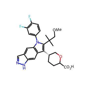 COCC(C)(C)c1c([C@H]2CCC(C(=O)O)OC2)c2cc3[nH]ncc3cc2n1-c1ccc(F)c(F)c1